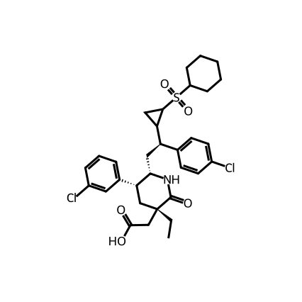 CC[C@@]1(CC(=O)O)C[C@H](c2cccc(Cl)c2)[C@H](C[C@H](c2ccc(Cl)cc2)C2CC2S(=O)(=O)C2CCCCC2)NC1=O